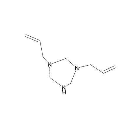 C=CCN1CNCN(CC=C)C1